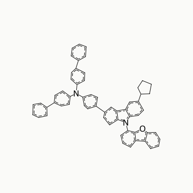 c1ccc(-c2ccc(N(c3ccc(-c4ccccc4)cc3)c3ccc(-c4ccc5c(c4)c4cc(C6CCCC6)ccc4n5-c4cccc5c4oc4ccccc45)cc3)cc2)cc1